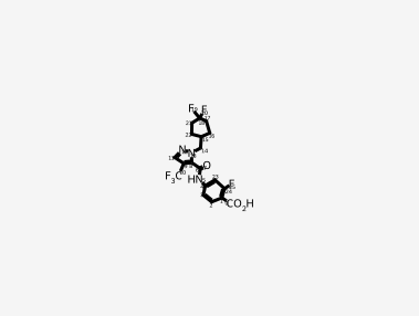 O=C(O)c1ccc(NC(=O)c2c(C(F)(F)F)cnn2CC2CCC(F)(F)CC2)cc1F